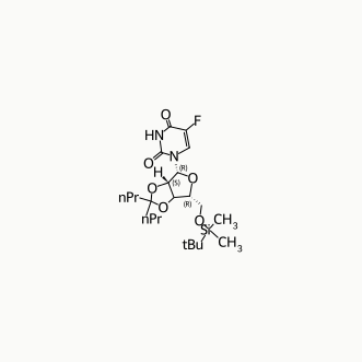 CCCC1(CCC)OC2[C@@H](CO[Si](C)(C)C(C)(C)C)O[C@@H](n3cc(F)c(=O)[nH]c3=O)[C@H]2O1